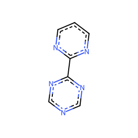 c1cnc(-c2ncncn2)nc1